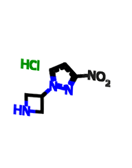 Cl.O=[N+]([O-])c1ccn(C2CNC2)n1